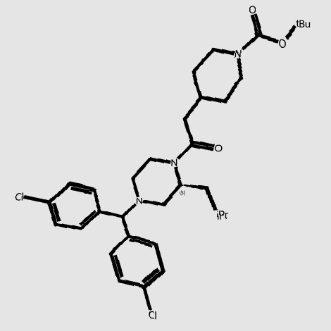 CC(C)C[C@H]1CN(C(c2ccc(Cl)cc2)c2ccc(Cl)cc2)CCN1C(=O)CC1CCN(C(=O)OC(C)(C)C)CC1